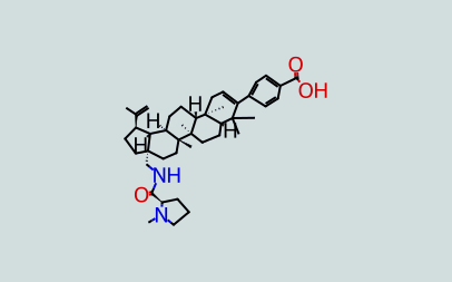 C=C(C)[C@@H]1CC[C@]2(CNC(=O)[C@H]3CCCN3C)CC[C@]3(C)[C@H](CC[C@@H]4[C@@]5(C)CC=C(c6ccc(C(=O)O)cc6)C(C)(C)[C@@H]5CC[C@]43C)[C@@H]12